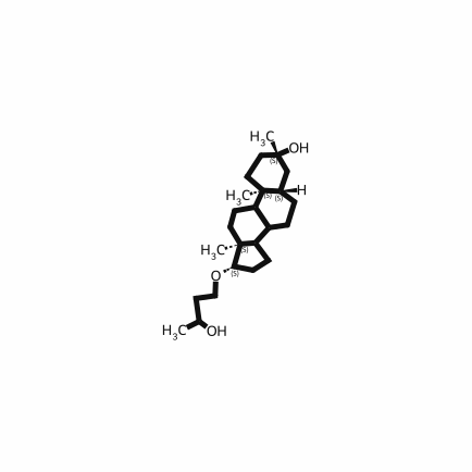 CC(O)CCO[C@H]1CCC2C3CC[C@H]4C[C@@](C)(O)CC[C@]4(C)C3CC[C@@]21C